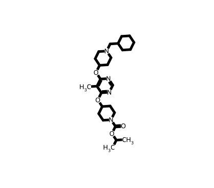 Cc1c(OC2CCN(CC3CCCCC3)CC2)ncnc1OC1CCN(C(=O)OC(C)C)CC1